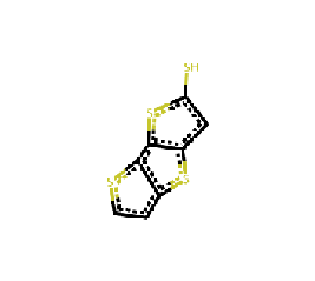 Sc1cc2sc3ccsc3c2s1